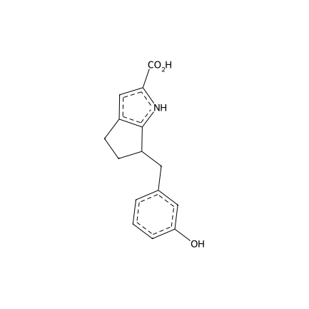 O=C(O)c1cc2c([nH]1)C(Cc1cccc(O)c1)CC2